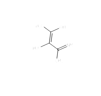 CC(=N)/C(C)=C(/C)O